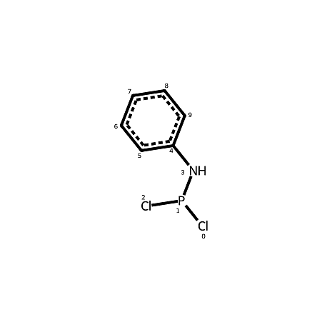 ClP(Cl)Nc1ccccc1